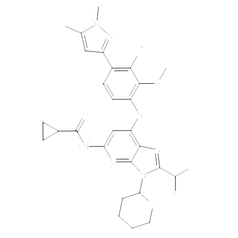 COc1c(Nc2cc(NC(=O)C3CC3)nc3c2nc(C(F)F)n3C2CCCCO2)ccc(-c2cc(C)n(C)n2)c1F